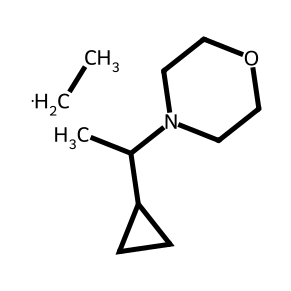 CC(C1CC1)N1CCOCC1.[CH2]C